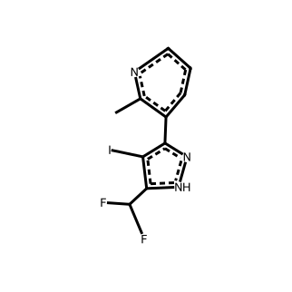 Cc1ncccc1-c1n[nH]c(C(F)F)c1I